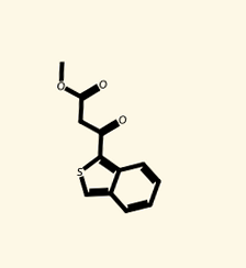 COC(=O)CC(=O)c1scc2ccccc12